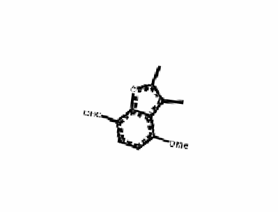 COc1ccc(C=O)c2oc(C)c(C)c12